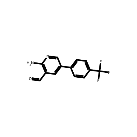 Nc1ncc(-c2ccc(C(F)(F)F)cc2)cc1C=O